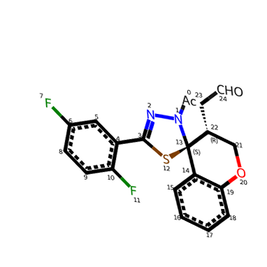 CC(=O)N1N=C(c2cc(F)ccc2F)S[C@@]12c1ccccc1OC[C@H]2CC=O